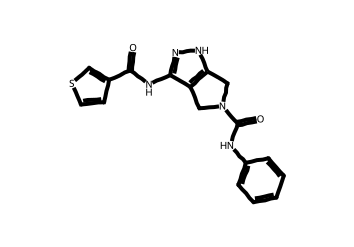 O=C(Nc1n[nH]c2c1CN(C(=O)Nc1ccccc1)C2)c1ccsc1